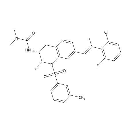 C/C(=C\c1ccc2c(c1)N(S(=O)(=O)c1cccc(C(F)(F)F)c1)[C@H](C)[C@H](NC(=O)N(C)C)C2)c1c(F)cccc1Cl